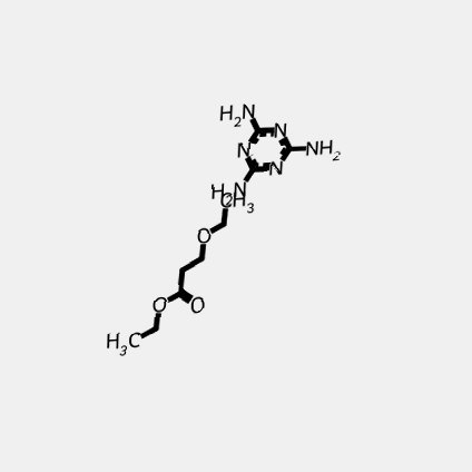 CCOCCC(=O)OCC.Nc1nc(N)nc(N)n1